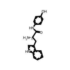 N[C@@H](Cc1c[nH]c2ccccc12)C(=O)Nc1ccc(O)cc1